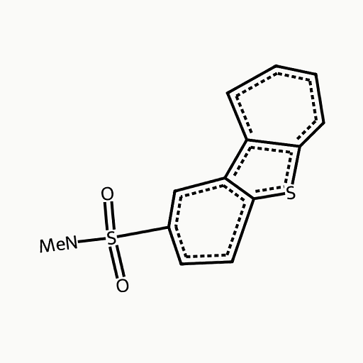 CNS(=O)(=O)c1ccc2sc3ccccc3c2c1